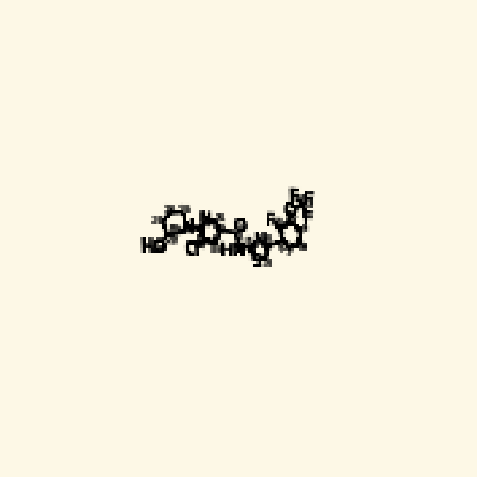 O=C(Nc1nc(-c2cccc(OC(F)(F)F)c2F)cs1)c1cnc(N2CCCC(O)C2)c(Cl)c1